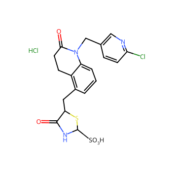 Cl.O=C1NC(S(=O)(=O)O)SC1Cc1cccc2c1CCC(=O)N2Cc1ccc(Cl)nc1